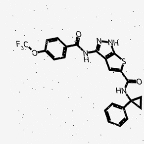 O=C(Nc1n[nH]c2sc(C(=O)NC3(c4ccccc4)CC3)cc12)c1ccc(OC(F)(F)F)cc1